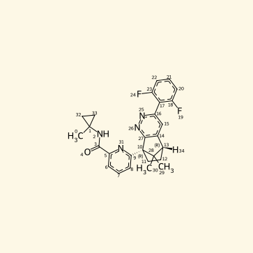 CC1(NC(=O)c2cccc([C@]34CC[C@@H](c5cc(-c6c(F)cccc6F)nnc53)C4(C)C)n2)CC1